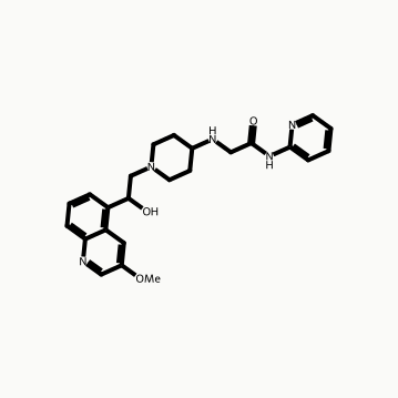 COc1cnc2cccc(C(O)CN3CCC(NCC(=O)Nc4ccccn4)CC3)c2c1